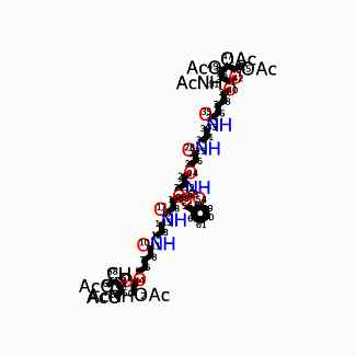 CC(=O)NC(OC(C)=O)C(OCCCCC(=O)NCCCNC(=O)CCOCC(COCCC(=O)NCCCNC(=O)CCCCOC1OC(COC(C)=O)C(OC(C)=O)C(OC(C)=O)C1NC(C)=O)NC(=O)OCc1ccccc1)OC(COC(C)=O)C(C)OC(C)=O